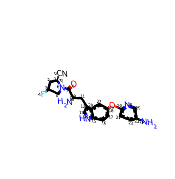 N#C[C@@H]1CC(F)CN1C(=O)[C@@H](N)Cc1c[nH]c2ccc(Oc3ccc(N)cn3)cc12